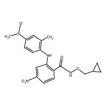 Cc1cc([S+](C)[O-])ccc1Nc1cc([N+](=O)[O-])ccc1C(=O)NOCC1CC1